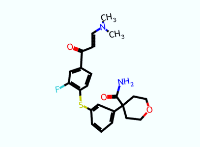 CN(C)C=CC(=O)c1ccc(Sc2cccc(C3(C(N)=O)CCOCC3)c2)c(F)c1